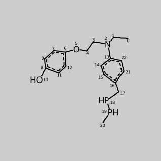 CCN(CCOc1ccc(O)cc1)c1ccc(CPPC)cc1